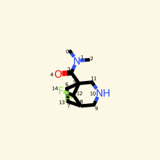 CN(C)C(=O)C12CCC(CNC1)C2(F)F